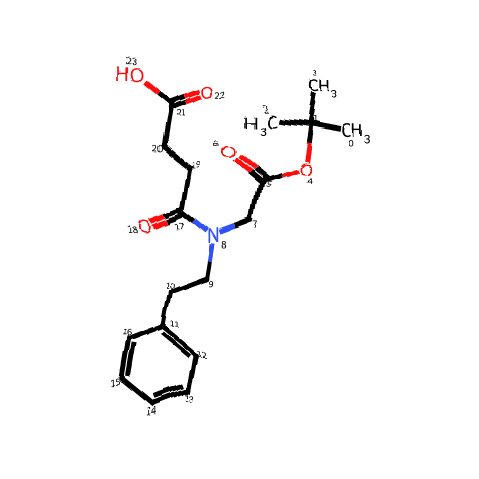 CC(C)(C)OC(=O)CN(CCc1ccccc1)C(=O)CCC(=O)O